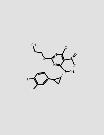 CCCSc1nc(Cl)c([N+](=O)[O-])c(N(P)[C@@H]2C[C@H]2c2ccc(F)c(F)c2)n1